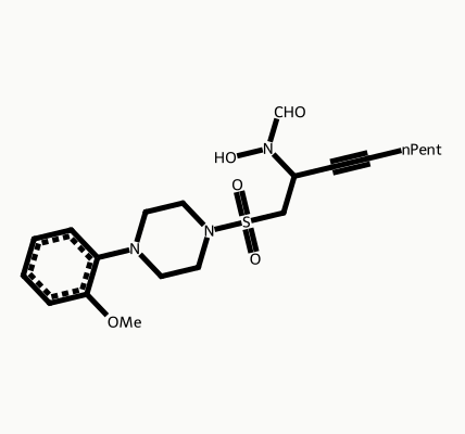 CCCCCC#CC(CS(=O)(=O)N1CCN(c2ccccc2OC)CC1)N(O)C=O